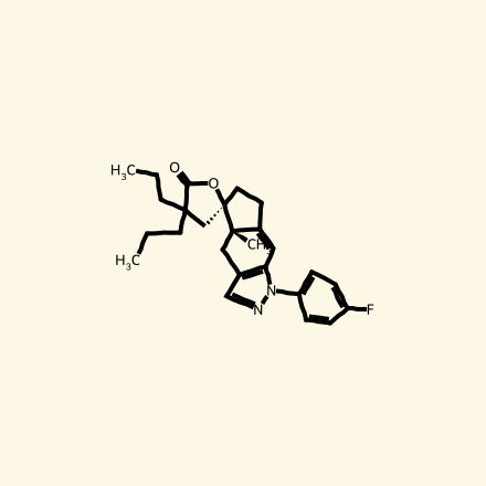 CCCC1(CCC)C[C@@]2(CCC3=Cc4c(cnn4-c4ccc(F)cc4)C[C@@]32C)OC1=O